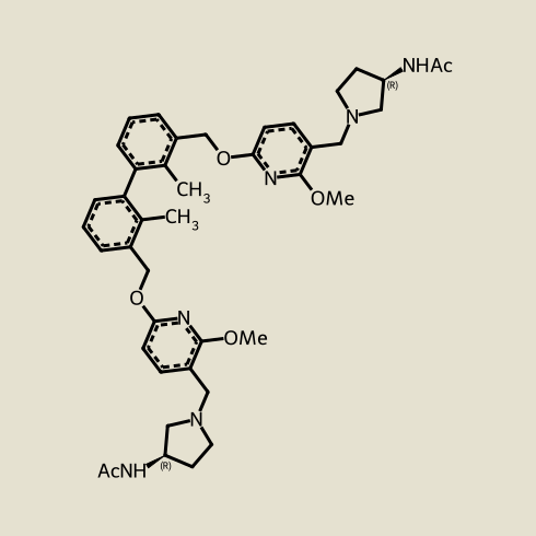 COc1nc(OCc2cccc(-c3cccc(COc4ccc(CN5CC[C@@H](NC(C)=O)C5)c(OC)n4)c3C)c2C)ccc1CN1CC[C@@H](NC(C)=O)C1